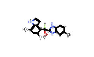 Cc1cc(C)c2[nH]ccc2c1C(O)(F)c1nc2cc(C#N)ccc2[nH]1